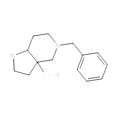 O=C(O)C12CCNC1CCN(Cc1ccccc1)C2